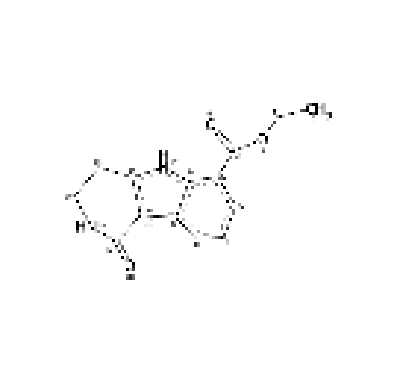 CCOC(=O)c1cccc2c3c([nH]c12)CCNC3=O